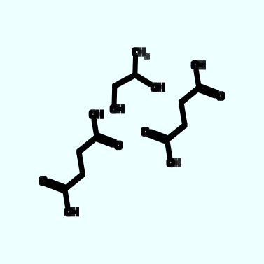 CC(O)CO.O=C(O)CCC(=O)O.O=C(O)CCC(=O)O